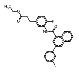 CCOC(=O)CCc1ccc(F)c(NC(=O)c2cc(-c3cccc(F)c3)cc3ccccc23)c1